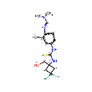 CN(C)/C=N/c1ccc(NC(=S)NC2(CO)CC(F)(F)C2)cc1C#N